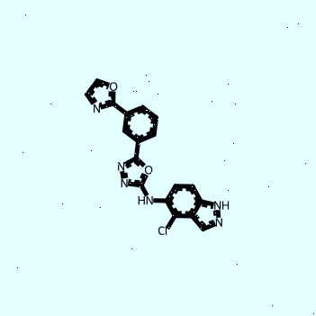 Clc1c(Nc2nnc(-c3cccc(-c4ncco4)c3)o2)ccc2[nH]ncc12